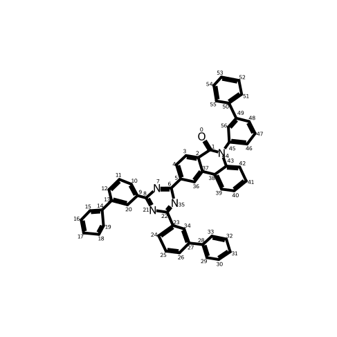 O=c1c2ccc(-c3nc(-c4cccc(-c5ccccc5)c4)nc(-c4cccc(-c5ccccc5)c4)n3)cc2c2ccccc2n1-c1cccc(-c2ccccc2)c1